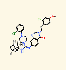 COc1ccc(CCn2cnc3cc(N=C(NC4C[C@H]5C[C@H]([C@H]4C)C5(C)C)N4CCN(c5ccccc5Cl)CC4)ccc3c2=O)c(F)c1